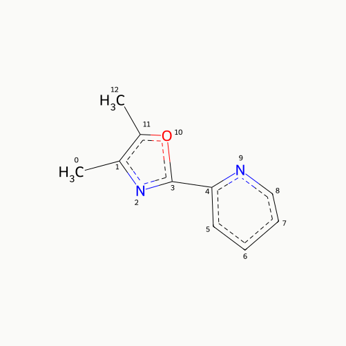 Cc1nc(-c2ccccn2)oc1C